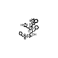 CC(C)[C@@H](CNS(=O)(=O)CC1CCCCC1)C[C@H](O)[C@H](CC1CCCCC1)NC(=O)C(Cc1c[nH]cn1)NC(=O)C(Cc1ccccc1)CS(=O)(=O)C(C)(C)C